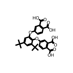 CC(C)(C)c1cc(Oc2ccc(C(=O)O)c(C(=O)O)c2)c(Oc2ccc(C(=O)O)c(C(=O)O)c2)c(C(C)(C)C)c1